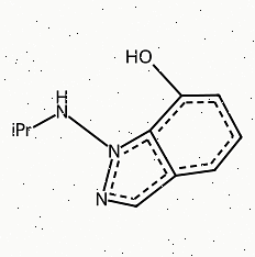 CC(C)Nn1ncc2cccc(O)c21